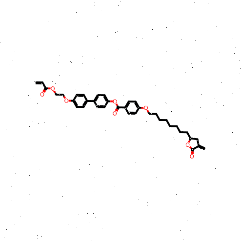 C=CC(=O)OCCOc1ccc(-c2ccc(OC(=O)c3ccc(OCCCCCCCCC4CC(=C)C(=O)O4)cc3)cc2)cc1